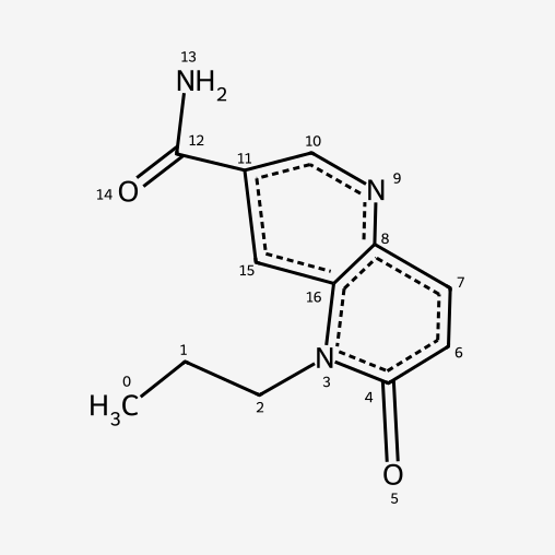 CCCn1c(=O)ccc2ncc(C(N)=O)cc21